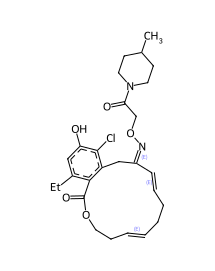 CCc1cc(O)c(Cl)c2c1C(=O)OCC/C=C/CC/C=C/C(=N/OCC(=O)N1CCC(C)CC1)C2